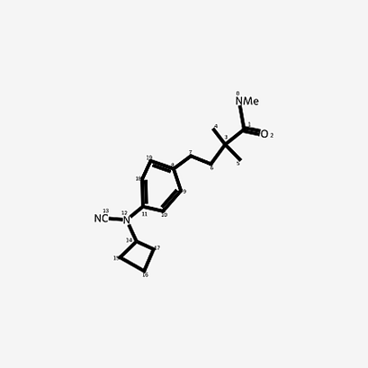 CNC(=O)C(C)(C)CCc1ccc(N(C#N)C2CCC2)cc1